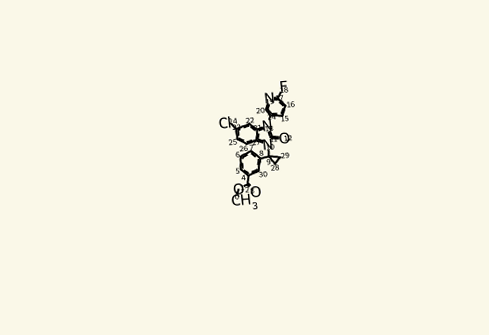 COC(=O)c1cccc(C2(n3c(=O)n(-c4ccc(F)nc4)c4cc(Cl)ccc43)CC2)c1